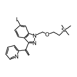 C=C(c1ccccn1)c1nn(COCC[Si](C)(C)C)c2cc(I)ccc12